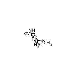 C/C=c1/ccn(Cc2ccc(C(=N)N3CCCC3)cc2F)/c1=C/C=N/C